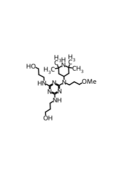 COCCCN(c1nc(NCCCO)nc(NCCCO)n1)C1CC(C)(C)NC(C)(C)C1